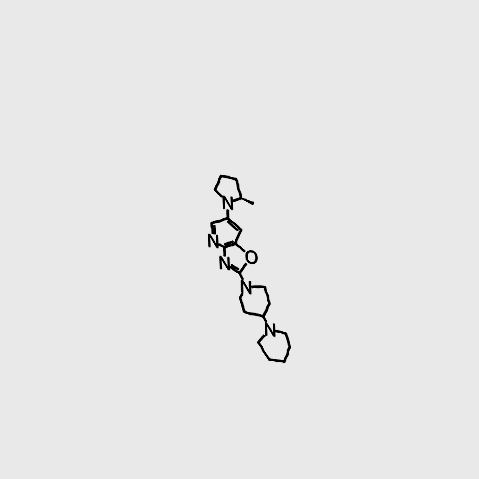 C[C@@H]1CCCN1c1cnc2nc(N3CCC(N4CCCCC4)CC3)oc2c1